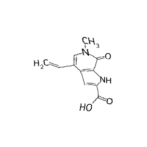 C=Cc1cn(C)c(=O)c2[nH]c(C(=O)O)cc12